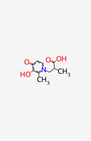 Cc1c(O)c(=O)ccn1CC(C)C(=O)O